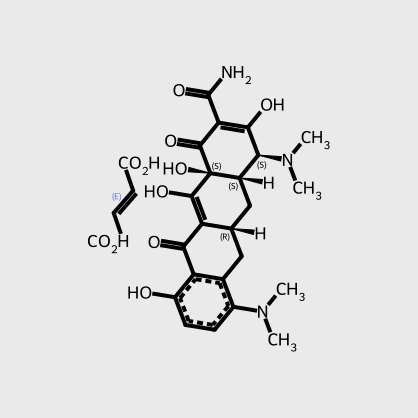 CN(C)c1ccc(O)c2c1C[C@H]1C[C@H]3[C@H](N(C)C)C(O)=C(C(N)=O)C(=O)[C@@]3(O)C(O)=C1C2=O.O=C(O)/C=C/C(=O)O